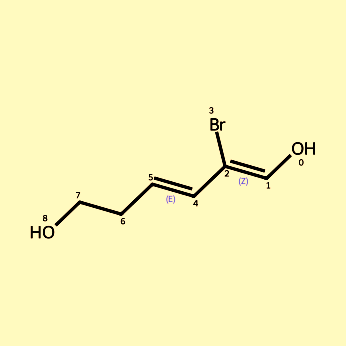 O/C=C(Br)/C=C/CCO